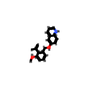 C=C(C)c1c(COc2ccc3ncccc3c2)cccc1OC